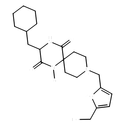 CCCN1C(=O)C(CC2CCCCC2)NC(=O)C12CCN(Cc1ccc(CO)o1)CC2